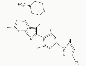 Cc1ccn2c(CC3CN(C(=O)O)CCO3)c(-c3c(F)cc(-c4nc(C(F)(F)F)c[nH]4)cc3F)nc2c1